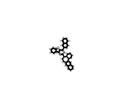 C1=CC2c3cc4ccccc4cc3CCC(c3nc(-c4ccc5ccccc5c4)c4oc5ccccc5c4n3)C2C=C1